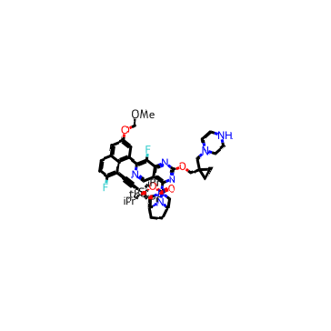 COCOc1cc(-c2ncc3c(N4CC5CCC(C4)N5C(=O)OC(C)(C)C)nc(OCC4(CN5CCNCC5)CC4)nc3c2F)c2c(C#C[Si](C(C)C)(C(C)C)C(C)C)c(F)ccc2c1